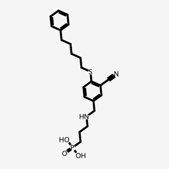 N#Cc1cc(CNCCCP(=O)(O)O)ccc1SCCCCCc1ccccc1